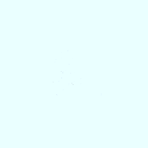 CCCCC(=O)Nc1oc(-c2ccccc2O)nc1-c1ccccc1